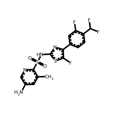 Cc1cc(N)cnc1S(=O)(=O)Nc1nc(-c2ccc(C(F)F)c(F)c2)c(F)s1